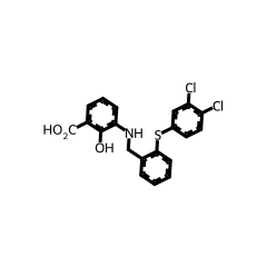 O=C(O)c1cccc(NCc2ccccc2Sc2ccc(Cl)c(Cl)c2)c1O